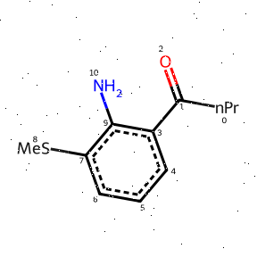 CCCC(=O)c1cccc(SC)c1N